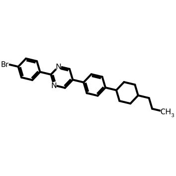 CCCC1CCC(c2ccc(-c3cnc(-c4ccc(Br)cc4)nc3)cc2)CC1